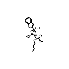 CCCCC[C@@H](C(=O)OC)[C@H]1C[C@](O)(c2cc3ccccc3s2)C[C@@H]1O